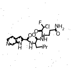 CC(C)CC(NC(=O)c1cc2ccncc2[nH]1)C(=O)NN(CCC(N)=O)C(=O)C(F)Cl